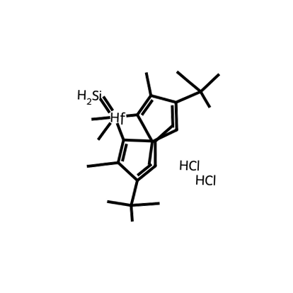 CC1=[C]([Hf]([CH3])([CH3])(=[SiH2])[C]2=C(C)C(C(C)(C)C)=CC2C)C(C)C=C1C(C)(C)C.Cl.Cl